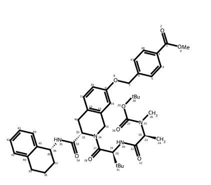 COC(=O)c1ccc(COc2ccc3c(c2)CN(C(=O)[C@@H](NC(=O)[C@H](C)N(C)C(=O)OC(C)(C)C)C(C)(C)C)[C@H](C(=O)N[C@@H]2CCCc4ccccc42)C3)cc1